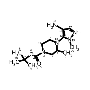 CC1CN(C(=O)OC(C)(C)C)CCN1c1c(N)cnn1C